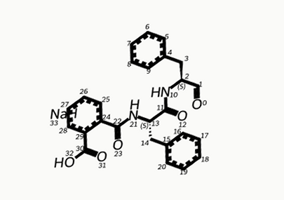 O=C[C@H](Cc1ccccc1)NC(=O)[C@H](Cc1ccccc1)NC(=O)c1ccccc1C(=O)O.[NaH]